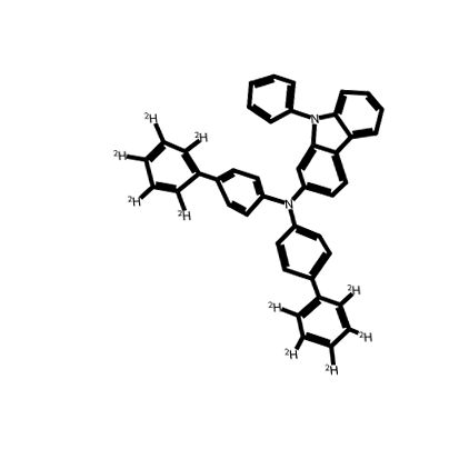 [2H]c1c([2H])c([2H])c(-c2ccc(N(c3ccc(-c4c([2H])c([2H])c([2H])c([2H])c4[2H])cc3)c3ccc4c5ccccc5n(-c5ccccc5)c4c3)cc2)c([2H])c1[2H]